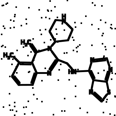 C=C1c2c(C)cccc2N=C(CNc2ncnc3scnc23)N1C1CCNCC1